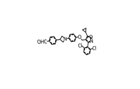 O=Cc1ccc(C2CN(c3ccc(OCc4c(-c5c(Cl)cccc5Cl)noc4C4CC4)cc3)C2)cc1